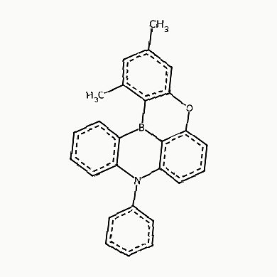 Cc1cc(C)c2c(c1)Oc1cccc3c1B2c1ccccc1N3c1ccccc1